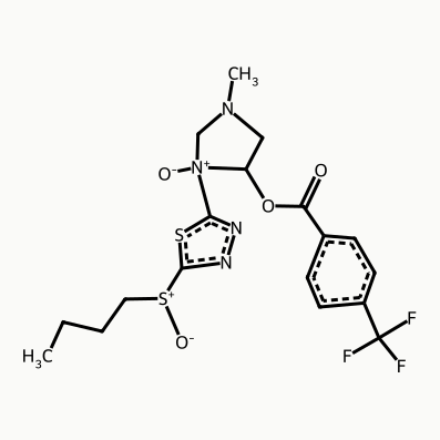 CCCC[S+]([O-])c1nnc([N+]2([O-])CN(C)CC2OC(=O)c2ccc(C(F)(F)F)cc2)s1